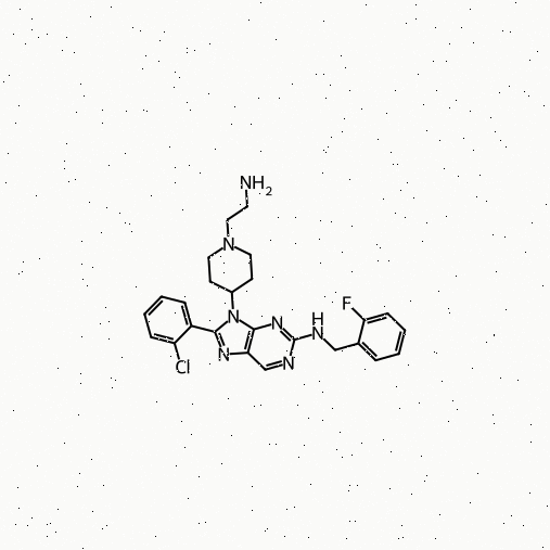 NCCN1CCC(n2c(-c3ccccc3Cl)nc3cnc(NCc4ccccc4F)nc32)CC1